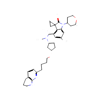 COc1cc([C@@H](C(=O)O)N(C)[C@H]2CC[C@H](OCCCCc3ccc4c(n3)NCCC4)C2)c2c(c1)N(C1CCOCC1)C(=O)C21CC1